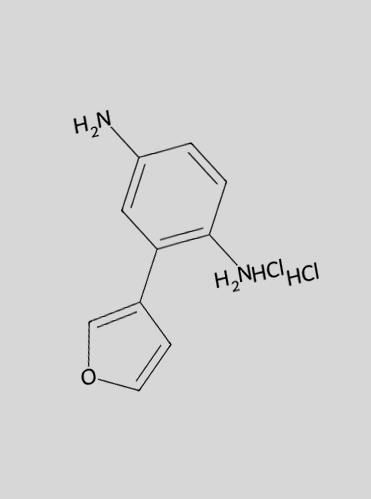 Cl.Cl.Nc1ccc(N)c(-c2ccoc2)c1